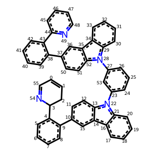 C1=CCC(c2ccccc2-c2ccc3c(c2)c2ccccc2n3-c2cccc(-n3c4ccccc4c4cc(-c5ccccc5-c5ccccn5)ccc43)c2)N=C1